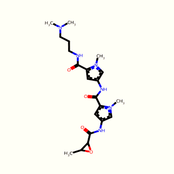 CC1OC1C(=O)Nc1cc(C(=O)Nc2cc(C(=O)NCCCN(C)C)n(C)c2)n(C)c1